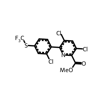 COC(=O)c1nc(-c2ccc(SC(F)(F)F)cc2Cl)c(Cl)cc1Cl